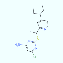 CCC(CC)c1ccnc(C(C)Sc2nc(N)cc(Cl)n2)c1